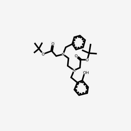 CC(C)(C)OC(=O)CN(CCN(CC(=O)OC(C)(C)C)Cc1ccccc1O)Cc1ccccc1